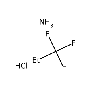 CCC(F)(F)F.Cl.N